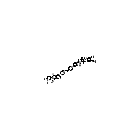 CC1(C)C(NC(=O)c2ccc(N3CCC(CCN4CCN(c5cc6c(cn5)C(=O)N(C5CCC(=O)NC5=O)C6=O)CC4)CC3)cc2)C(C)(C)C1Oc1ccc(C#N)c(Cl)c1